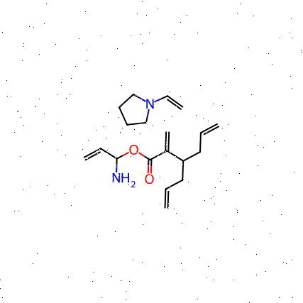 C=CCC(CC=C)C(=C)C(=O)OC(N)C=C.C=CN1CCCC1